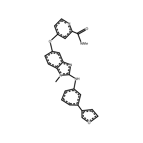 CNC(=O)c1cc(Oc2ccc3c(c2)nc(Nc2cccc(-c4ccoc4)c2)n3C)ccn1